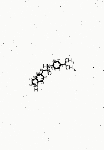 CC(C)c1ccc(NC(=O)Cc2ccc3[nH]ccc3c2)cc1